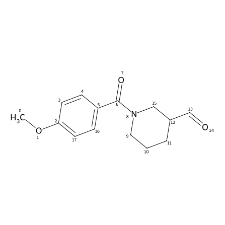 COc1ccc(C(=O)N2CCCC(C=O)C2)cc1